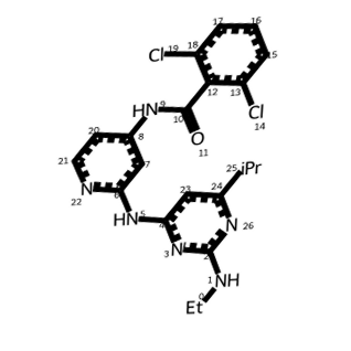 CCNc1nc(Nc2cc(NC(=O)c3c(Cl)cccc3Cl)ccn2)cc(C(C)C)n1